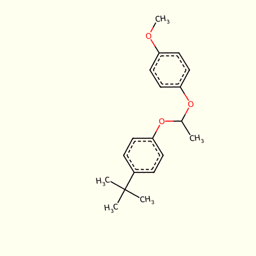 COc1ccc(OC(C)Oc2ccc(C(C)(C)C)cc2)cc1